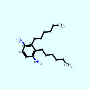 CCCCCCc1c(N)ccc(N)c1CCCCCC